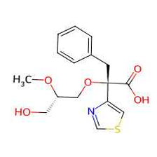 CO[C@@H](CO)CO[C@](Cc1ccccc1)(C(=O)O)c1cscn1